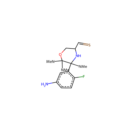 CNC1(NC)OCC(C=S)NC1(NC)c1cc(N)ccc1F